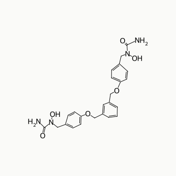 NC(=O)N(O)Cc1ccc(OCc2cccc(COc3ccc(CN(O)C(N)=O)cc3)c2)cc1